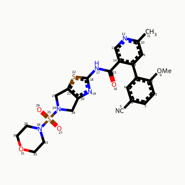 COc1ccc(C#N)cc1-c1cc(C)ncc1C(=O)Nc1nc2c(s1)CN(S(=O)(=O)N1CCOCC1)C2